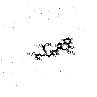 CC(C)=CCN(CC=C(C)C)Cc1noc(-c2ncn3c2CN(C)C(=O)c2ccccc2-3)n1